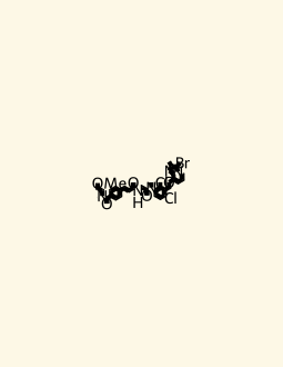 COCCN(C)C(=O)c1ccc(C=CC(=O)NCC(=O)N(C)c2ccc(Cl)c(COc3cccn4c(Br)c(C)nc34)c2Cl)cc1